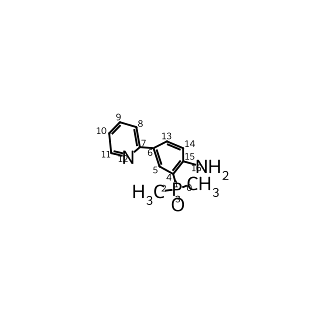 CP(C)(=O)c1cc(-c2ccccn2)ccc1N